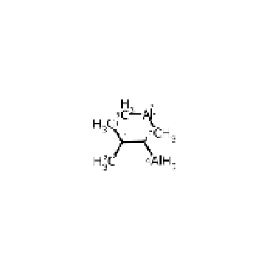 CC(C)[CH2][AlH2].[CH3][Al][CH3]